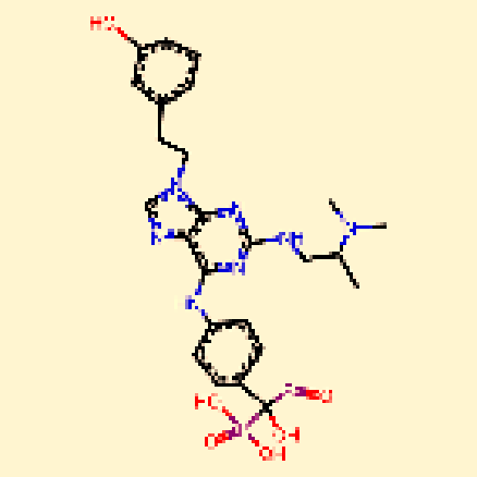 CC(CNc1nc(Nc2ccc(C(O)(P=O)P(=O)(O)O)cc2)c2ncn(CCc3cccc(O)c3)c2n1)N(C)C